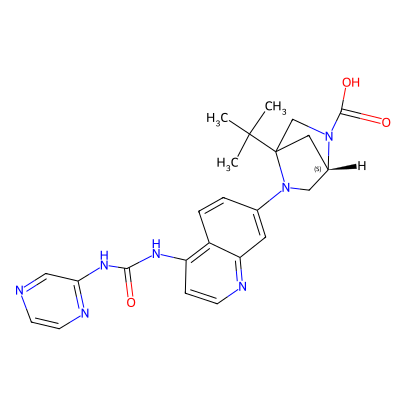 CC(C)(C)C12C[C@@H](CN1c1ccc3c(NC(=O)Nc4cnccn4)ccnc3c1)N(C(=O)O)C2